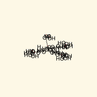 CC(=O)NC1C(OCCCCC(=O)NCCCNC(=O)CCOCC(COCCC(=O)NCCCNC(=O)CCCCOC2OC(CO)C(O)C(O)C2NC(C)=O)(COCCC(=O)NCCCNC(=O)CCCCOC2OC(CO)C(O)C(O)C2NC(C)=O)NC(=O)CCCCCCCCCCC(=O)N2C[C@H](C)C[C@H]2COP(C)O)OC(CO)C(O)C1O